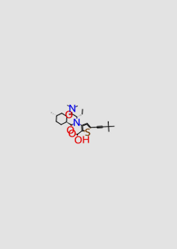 CC[C@@H](C(=O)N(C)C)N(c1cc(C#CC(C)(C)C)sc1C(=O)O)C(=O)[C@H]1CC[C@H](C)CC1